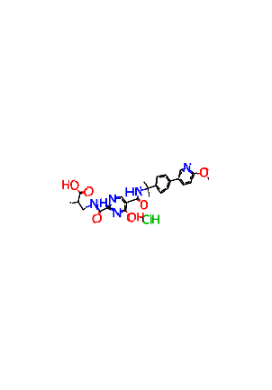 COc1ccc(-c2ccc(C(C)(C)NC(=O)c3cnc(C(=O)NCC(C)C(=O)O)nc3O)cc2)cn1.Cl